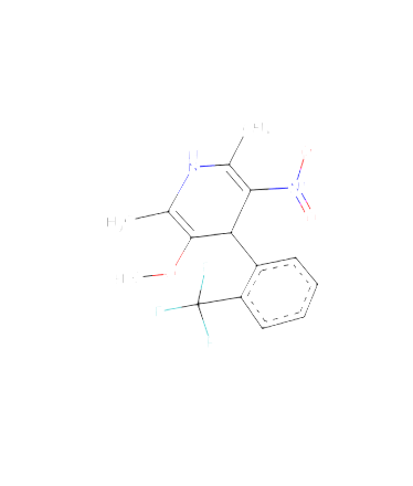 COC1=C(C)NC(C)=C([N+](=O)[O-])C1c1ccccc1C(F)(F)F